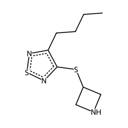 CCCCc1nsnc1SC1CNC1